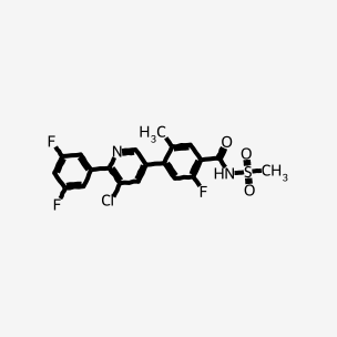 Cc1cc(C(=O)NS(C)(=O)=O)c(F)cc1-c1cnc(-c2cc(F)cc(F)c2)c(Cl)c1